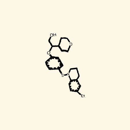 CCc1ccc2c(c1)CCCN2Sc1ccc(OC(CO)C2CCOCC2)cc1